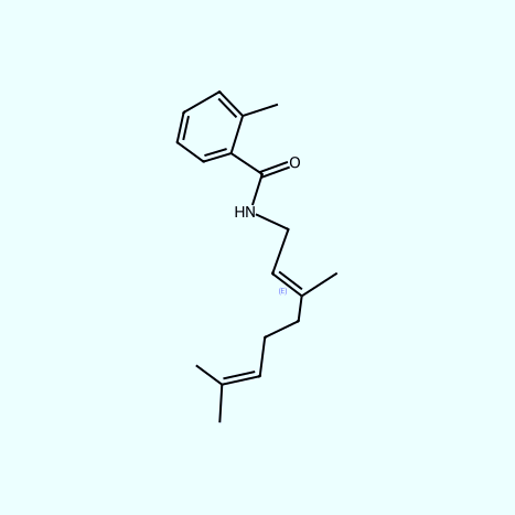 CC(C)=CCC/C(C)=C/CNC(=O)c1ccccc1C